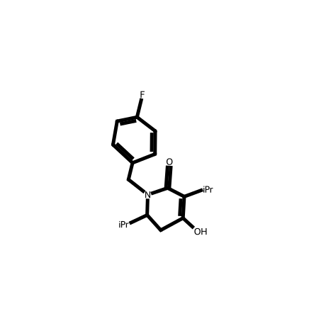 CC(C)C1=C(O)CC(C(C)C)N(Cc2ccc(F)cc2)C1=O